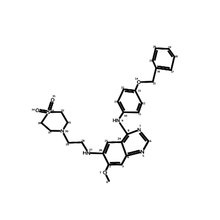 COc1cc2ncnc(Nc3ccc(OCc4ccccc4)cc3)c2cc1NCCN1CCS(=O)(=O)CC1